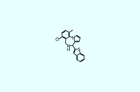 Cc1ccc(Cl)c2c1-n1cccc1C(c1cc3ccccc3s1)NC2